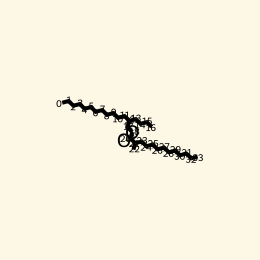 CCCCCCCCCCCCC(CCCC)COC(=O)C(C)CCCCCCCCCCC